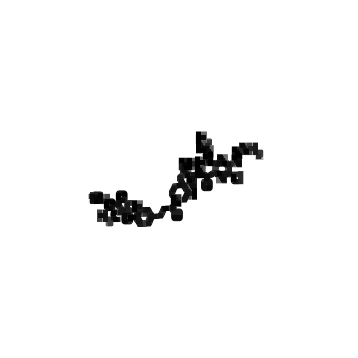 CC(C)(C)OC(=O)C(C)(C)Oc1ccc(CCC(=O)N2CCC3(CC2)CN(N)C(NC(=O)c2nc(Cl)c(N=NN)nc2N=NN)N3)cc1